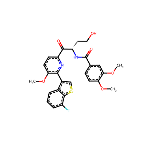 COc1ccc(C(=O)N[C@@H](CCO)C(=O)c2ccc(OC)c(-c3csc4c(F)cccc34)n2)cc1OC